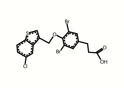 O=C(O)CCc1cc(Br)c(OCc2csc3ccc(Cl)cc23)c(Br)c1